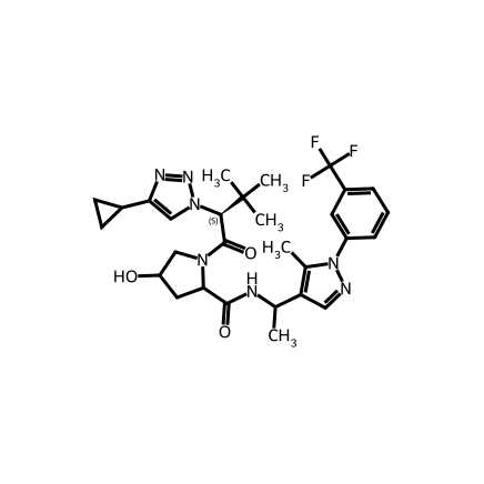 Cc1c(C(C)NC(=O)C2CC(O)CN2C(=O)[C@@H](n2cc(C3CC3)nn2)C(C)(C)C)cnn1-c1cccc(C(F)(F)F)c1